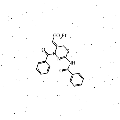 CCOC(=O)C=C1CSC(NC(=O)c2ccccc2)=NN1C(=O)c1ccccc1